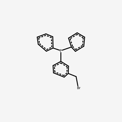 BrCc1cccc(P(c2ccccc2)c2ccccc2)c1